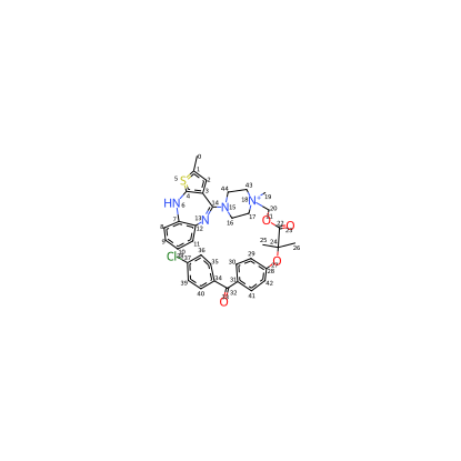 Cc1cc2c(s1)Nc1ccccc1N=C2N1CC[N+](C)(COC(=O)C(C)(C)Oc2ccc(C(=O)c3ccc(Cl)cc3)cc2)CC1